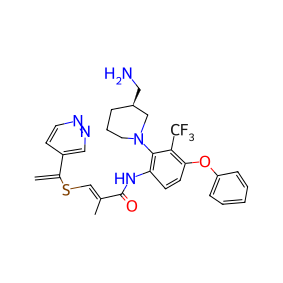 C=C(S/C=C(\C)C(=O)Nc1ccc(Oc2ccccc2)c(C(F)(F)F)c1N1CCC[C@@H](CN)C1)c1ccnnc1